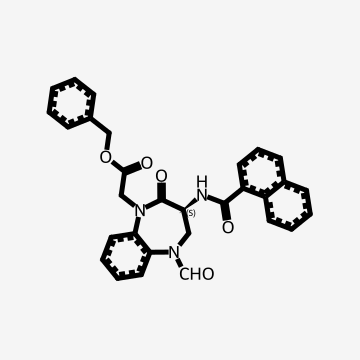 O=CN1C[C@H](NC(=O)c2cccc3ccccc23)C(=O)N(CC(=O)OCc2ccccc2)c2ccccc21